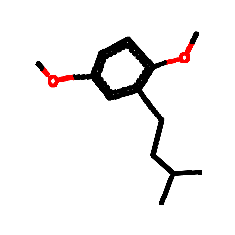 COc1ccc(OC)c(CCC(C)C)c1